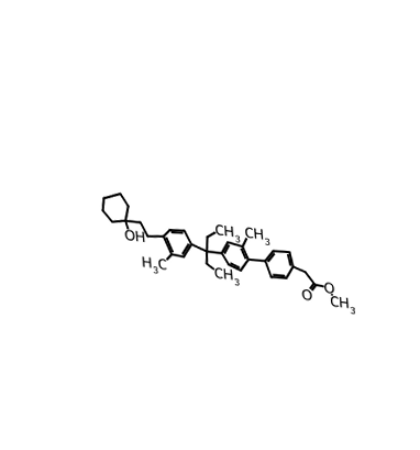 CCC(CC)(c1ccc(CCC2(O)CCCCC2)c(C)c1)c1ccc(-c2ccc(CC(=O)OC)cc2)c(C)c1